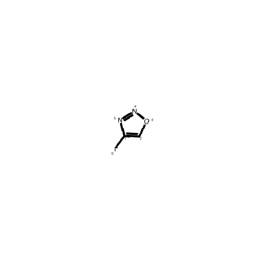 Ic1conn1